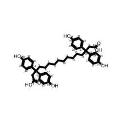 O=C(O)CC(CCCCCCCCCCC(CC(=O)O)(c1ccc(O)cc1)c1ccc(O)cc1)(c1ccc(O)cc1)c1ccc(O)cc1